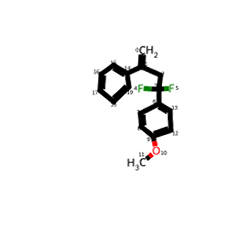 C=C(CC(F)(F)c1ccc(OC)cc1)c1ccccc1